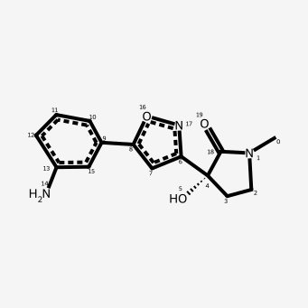 CN1CC[C@@](O)(c2cc(-c3cccc(N)c3)on2)C1=O